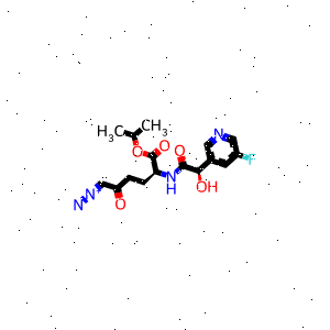 CC(C)OC(=O)[C@H](CCC(=O)C=[N+]=[N-])NC(=O)[C@H](O)c1cncc(F)c1